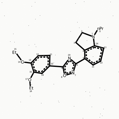 CCCN1CCc2c(-c3noc(-c4ccc(OCC)c(OCC)c4)n3)cccc21